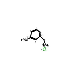 CCCCc1cccc([CH2][Mg][Cl])c1